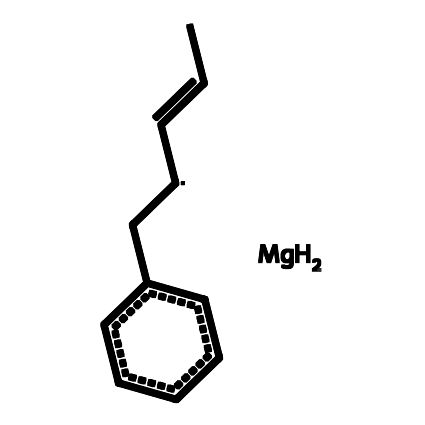 C/C=C/[CH]Cc1ccccc1.[MgH2]